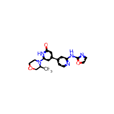 O=c1cc(-c2ccnc(Nc3ncco3)c2)cc(N2CCOCC2C(F)(F)F)[nH]1